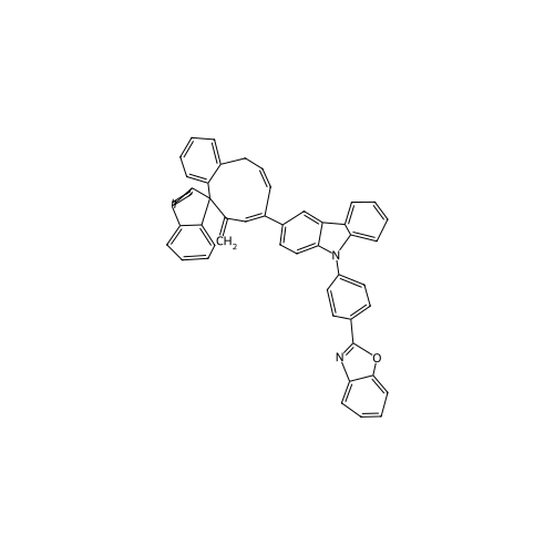 C=C1/C=C(c2ccc3c(c2)c2ccccc2n3-c2ccc(-c3nc4ccccc4o3)cc2)\C=C/Cc2ccccc2C12c1ccccc1-c1ccccc12